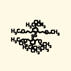 CCOCCCc1cc(C(C)(C)C)cc(CCCOCC)c1SSc1c(COCC(C)C)cc(C(C)(C)C)cc1COCC(C)C